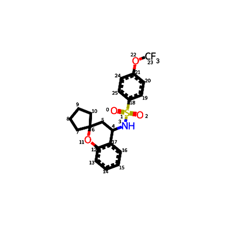 O=S(=O)(NC1CC2(CCCC2)Oc2ccccc21)c1ccc(OC(F)(F)F)cc1